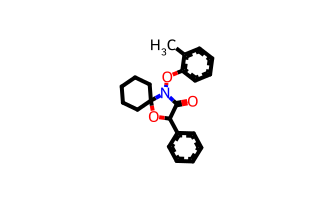 Cc1ccccc1ON1C(=O)C(c2ccccc2)OC12CCCCC2